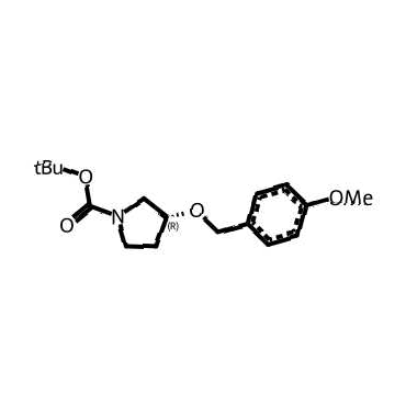 COc1ccc(CO[C@@H]2CCN(C(=O)OC(C)(C)C)C2)cc1